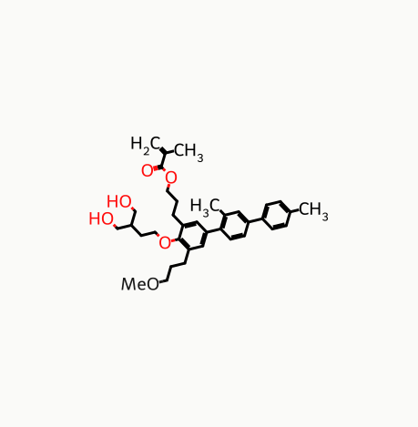 C=C(C)C(=O)OCCCc1cc(-c2ccc(-c3ccc(C)cc3)cc2C)cc(CCCOC)c1OCCC(CO)CO